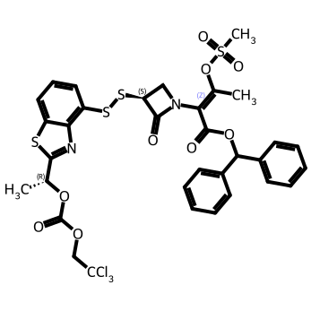 C/C(OS(C)(=O)=O)=C(\C(=O)OC(c1ccccc1)c1ccccc1)N1C[C@H](SSc2cccc3sc([C@@H](C)OC(=O)OCC(Cl)(Cl)Cl)nc23)C1=O